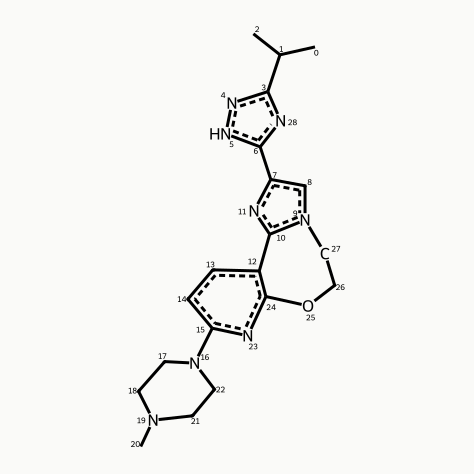 CC(C)c1n[nH]c(-c2cn3c(n2)-c2ccc(N4CCN(C)CC4)nc2OCC3)n1